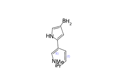 Bc1c[nH]c(C(/C=C\C(C)C)=C/NC)c1